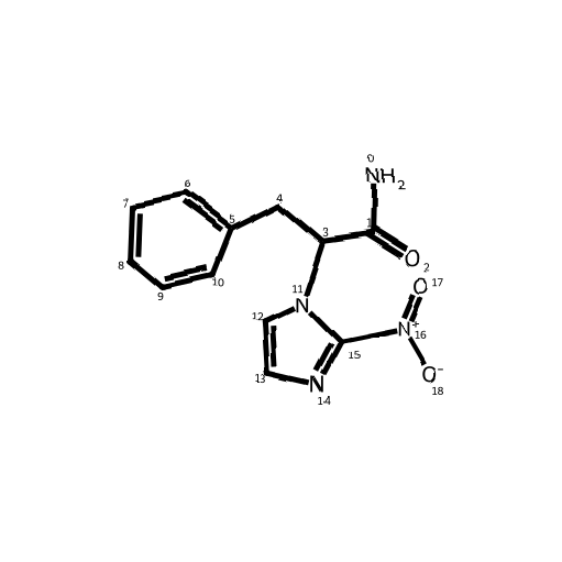 NC(=O)C(Cc1ccccc1)n1ccnc1[N+](=O)[O-]